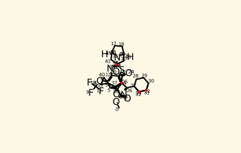 COC(=O)c1cc(OC(F)(F)F)c2nc(N3[C@@H]4CC[C@H]3C[C@@H](OC(=O)c3c(C56CCC(CC5)CC6)noc3C3CC3)C4)sc2c1